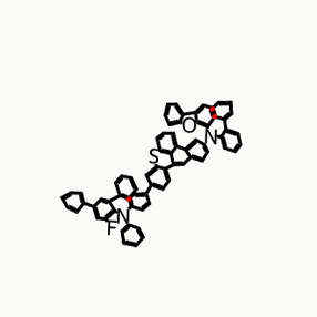 Fc1cc(-c2ccccc2)cc(-c2ccccc2)c1N(c1ccccc1)c1ccc(-c2ccc3c(c2)Sc2cccc4c2c-3cc2ccc(N(c3ccccc3-c3ccccc3)c3cccc5c3oc3ccccc35)cc24)cc1